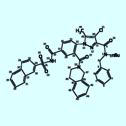 CCCCN(Cc1ccccc1)C(=O)c1nn(-c2ccc(C(=O)NS(=O)(=O)c3ccc4ccccc4c3)cc2C(=O)N2CCc3ccccc3C2)c(C)c1Cl